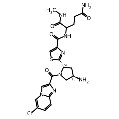 CNC(=O)C(CCC(N)=O)NC(=O)c1csc([C@@H]2C[C@@H](N)CN2C(=O)c2cn3cc(Cl)ccc3n2)n1